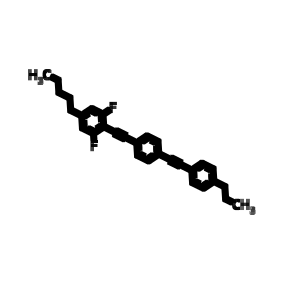 CCCCCc1cc(F)c(C#Cc2ccc(C#Cc3ccc(CCC)cc3)cc2)c(F)c1